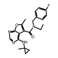 CCN(Cc1ccc(F)cc1)C(=O)c1c(C)oc2ncnc(NC3(C)CC3)c12